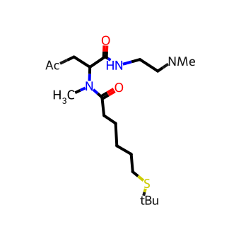 CNCCNC(=O)C(CC(C)=O)N(C)C(=O)CCCCCSC(C)(C)C